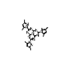 Cc1cc(C)n(C2=NC3=NC(n4nc(C)cc4C)=NC4=NC(n5nc(C)cc5C)=NC(=N2)N34)n1